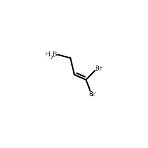 BCC=C(Br)Br